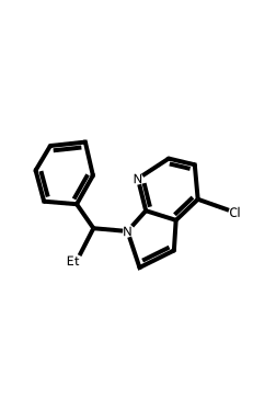 [CH2]CC(c1ccccc1)n1ccc2c(Cl)ccnc21